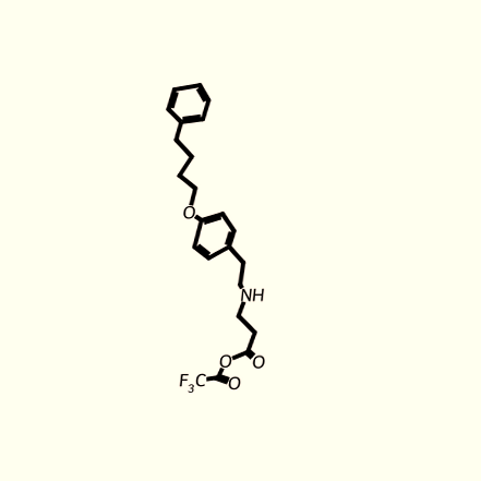 O=C(CCNCCc1ccc(OCCCCc2ccccc2)cc1)OC(=O)C(F)(F)F